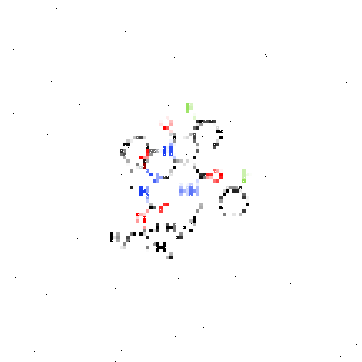 CC(C)(C)OC(=O)N1CCC(=O)N1Cc1c(C(=O)N[C@H](c2cccc(F)c2)C2CC2)c2cccc(F)c2c(=O)n1-c1ccccc1